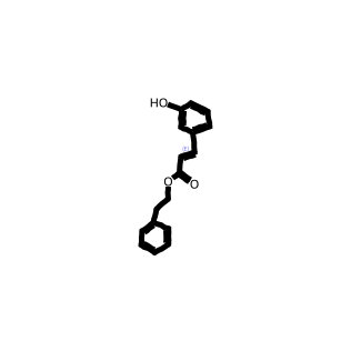 O=C(/C=C/c1cccc(O)c1)OCCc1ccccc1